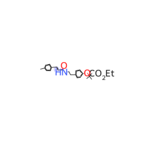 CCOC(=O)C(C)(C)Oc1ccc(CCNC(=O)/C=C/c2ccc(C)cc2)cc1